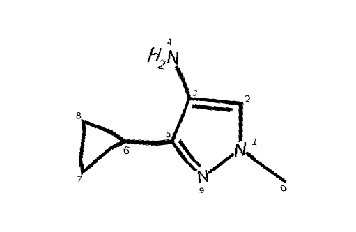 Cn1cc(N)c(C2CC2)n1